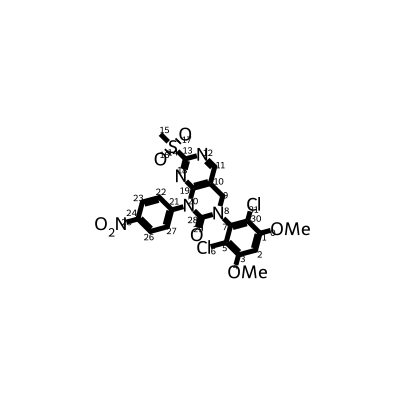 COc1cc(OC)c(Cl)c(N2Cc3cnc(S(C)(=O)=O)nc3N(c3ccc([N+](=O)[O-])cc3)C2=O)c1Cl